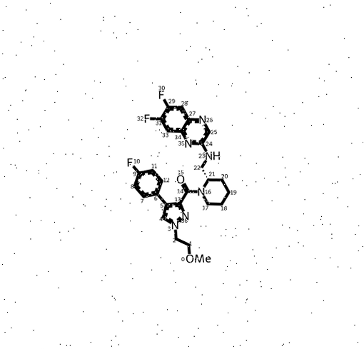 COCCn1cc(-c2ccc(F)cc2)c(C(=O)N2CCCC[C@H]2CNc2cnc3cc(F)c(F)cc3n2)n1